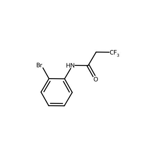 O=C(CC(F)(F)F)Nc1ccccc1Br